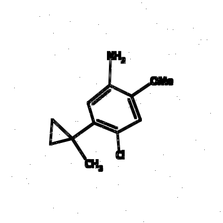 COc1cc(Cl)c(C2(C)CC2)cc1N